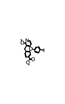 COC(=O)c1ccc(Cc2cccnc2OC)c(Oc2ccc(I)cc2)c1